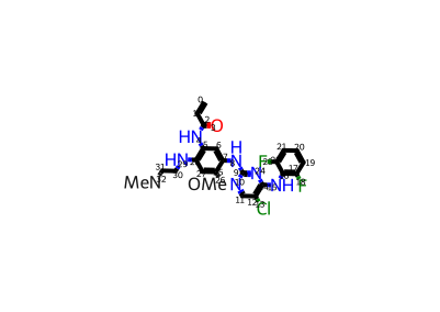 C=CC(=O)Nc1cc(Nc2ncc(Cl)c(Nc3c(F)cccc3F)n2)c(OC)cc1NCCNC